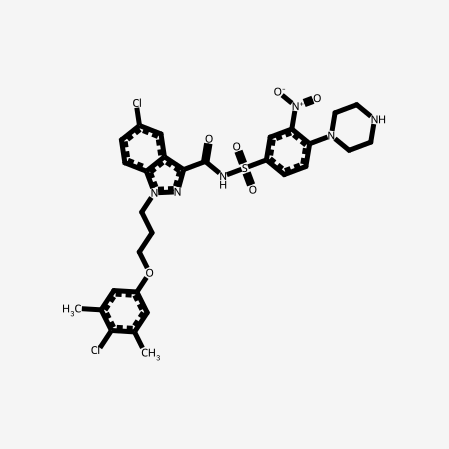 Cc1cc(OCCCn2nc(C(=O)NS(=O)(=O)c3ccc(N4CCNCC4)c([N+](=O)[O-])c3)c3cc(Cl)ccc32)cc(C)c1Cl